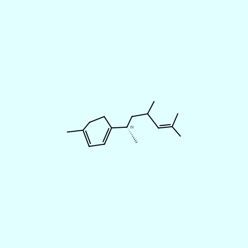 CC(C)=CC(C)C[C@H](C)C1=CC=C(C)CC1